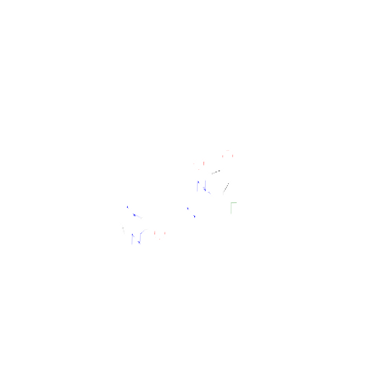 Cc1ncc(O[C@@H]2C[C@H](C)N(Cc3nc4c(cc3F)OCCO4)C2)nc1C